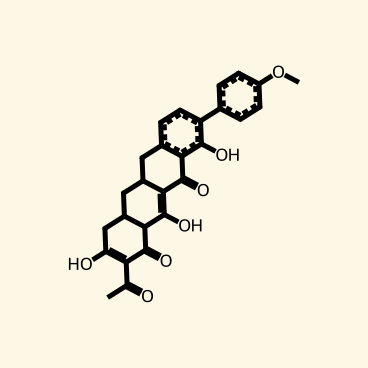 COc1ccc(-c2ccc3c(c2O)C(=O)C2=C(O)C4C(=O)C(C(C)=O)=C(O)CC4CC2C3)cc1